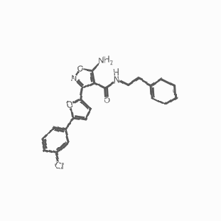 Nc1onc(-c2ccc(-c3cccc(Cl)c3)o2)c1C(=O)NCCC1=CCCCC1